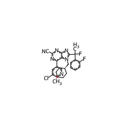 CC(F)(c1ccccc1F)c1nc2nc(C#N)nc(-c3cncc(Cl)c3)c2n1C[C@H]1CC[C@H](C)CC1